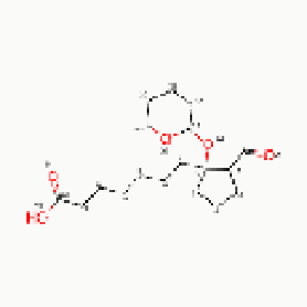 O=CC1CCCC1(CCCCCCC(=O)O)OC1CCCCO1